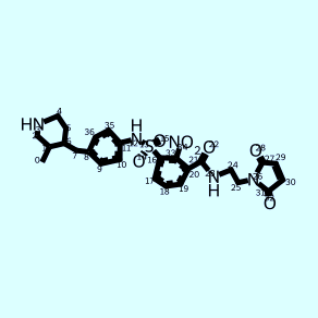 CC1CNCCC1Cc1ccc(NS(=O)(=O)c2cccc(C(=O)NCCN3C(=O)C=CC3=O)c2[N+](=O)[O-])cc1